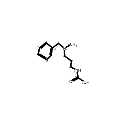 CN(CCCNC(=O)O)Cc1ccccc1